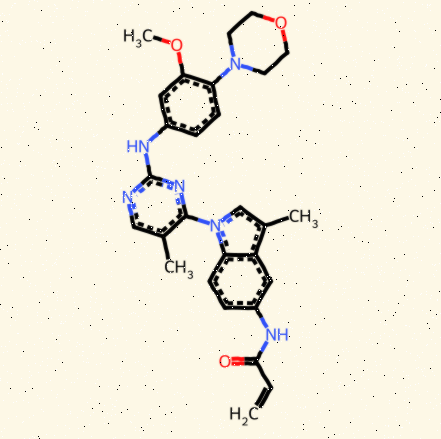 C=CC(=O)Nc1ccc2c(c1)c(C)cn2-c1nc(Nc2ccc(N3CCOCC3)c(OC)c2)ncc1C